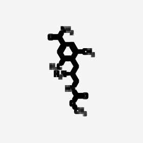 COC(=O)NC[C@@H](N)Cc1c(C)cc(C(N)=O)cc1C